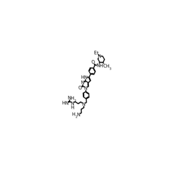 CCN1CCC(C)C(NC(=O)c2ccc(-c3cc4cn(-c5ccc(CN(CCCN)CCCNC(=N)N)cc5)c(=O)nc4[nH]3)cc2)C1